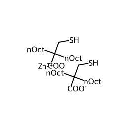 CCCCCCCCC(CS)(CCCCCCCC)C(=O)[O-].CCCCCCCCC(CS)(CCCCCCCC)C(=O)[O-].[Zn+2]